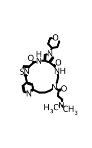 CN(C)CCC(=O)N1CCCc2cc(ccn2)-c2nc(cs2)C(=O)Nc2cn(C3CCOCC3)cc2C(=O)NCC1